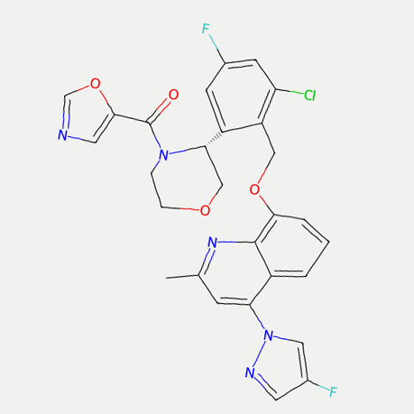 Cc1cc(-n2cc(F)cn2)c2cccc(OCc3c(Cl)cc(F)cc3[C@@H]3COCCN3C(=O)c3cnco3)c2n1